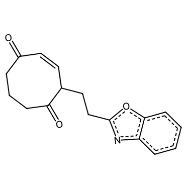 O=C1/C=C\C(CCc2nc3ccccc3o2)C(=O)CCC1